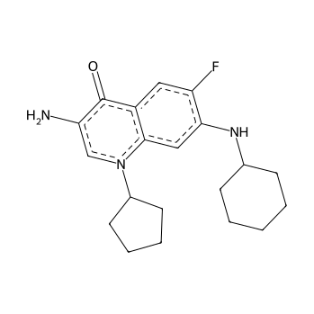 Nc1cn(C2CCCC2)c2cc(NC3CCCCC3)c(F)cc2c1=O